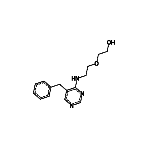 OCCOCCNc1ncncc1Cc1ccccc1